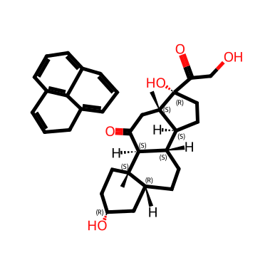 C1=Cc2cccc3cccc(c23)C1.C[C@]12CC[C@@H](O)C[C@H]1CC[C@@H]1[C@@H]2C(=O)C[C@@]2(C)[C@H]1CC[C@]2(O)C(=O)CO